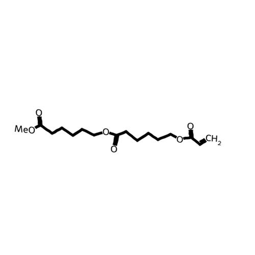 C=CC(=O)OCCCCCC(=O)OCCCCCC(=O)OC